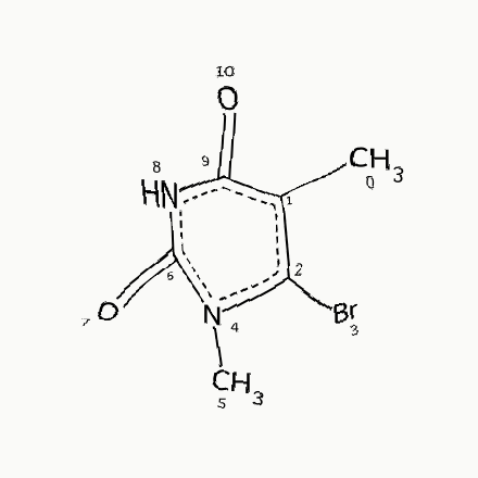 Cc1c(Br)n(C)c(=O)[nH]c1=O